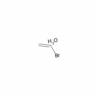 C=CBr.O